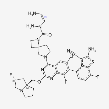 N#Cc1c(N)sc2c(F)ccc(-c3c(Cl)cc4c(N5CCC6(CCN6C(=O)N(N)/C=C\N)C5)nc(OC[C@@]56CCCN5C[C@H](F)C6)nc4c3F)c12